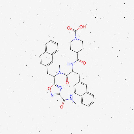 CNC(=O)c1noc(C(Cc2ccc3ccccc3c2)N(C)C(=O)C(Cc2ccc3ccccc3c2)NC(=O)C2CCN(C(=O)O)CC2)n1